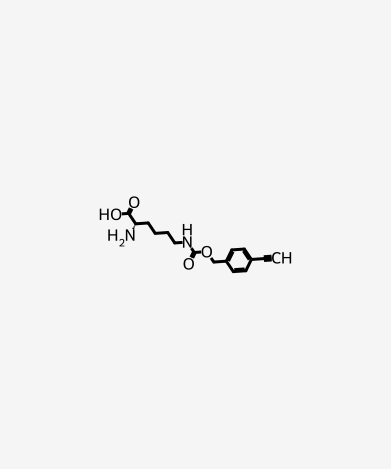 C#Cc1ccc(COC(=O)NCCCC[C@H](N)C(=O)O)cc1